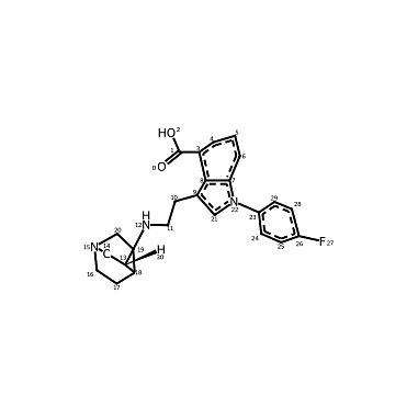 O=C(O)c1cccc2c1c(CCN[C@H]1CN3CCC1CC3)cn2-c1ccc(F)cc1